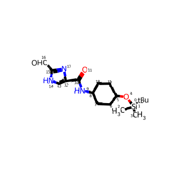 CC(C)(C)[Si](C)(C)OC1CCC(NC(=O)c2c[nH]c(C=O)n2)CC1